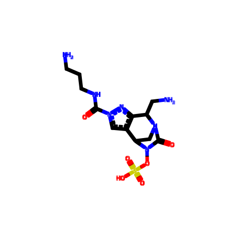 NCCCNC(=O)n1cc2c(n1)C(CN)N1CC2N(OS(=O)(=O)O)C1=O